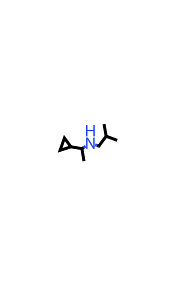 CC(C)CNC(C)C1CC1